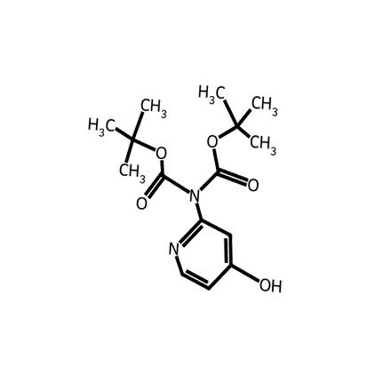 CC(C)(C)OC(=O)N(C(=O)OC(C)(C)C)c1cc(O)ccn1